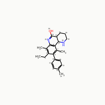 CCc1c(C)c2c(c(C)c1-c1ccc(C)cc1)C1NCCCC1C(O)=N2